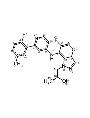 Cc1ccc(F)c(-c2cc(NC3=C4C(C=NN4C[C@H](C)O)OC=C3F)ccn2)n1